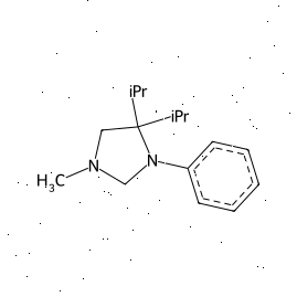 CC(C)C1(C(C)C)CN(C)CN1c1ccccc1